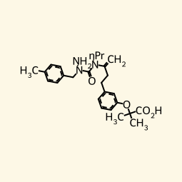 C=C(CCc1cccc(OC(C)(C)C(=O)O)c1)N(CCC)C(=O)N(N)Cc1ccc(C)cc1